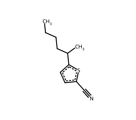 CCCCC(C)c1ccc(C#N)s1